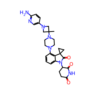 CC1(N2CCN(c3cccc4c3C3(CC3)C(=O)N4C3CCC(=O)NC3=O)CC2)CN(c2ccc(N)nc2)C1